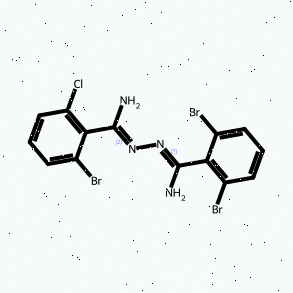 N/C(=N\N=C(/N)c1c(Br)cccc1Br)c1c(Cl)cccc1Br